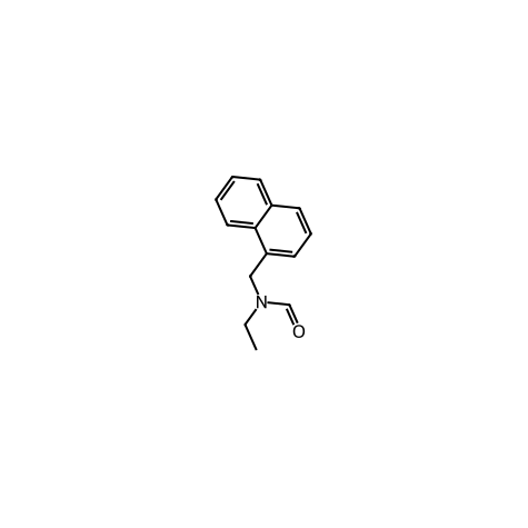 CCN(C=O)Cc1cccc2ccccc12